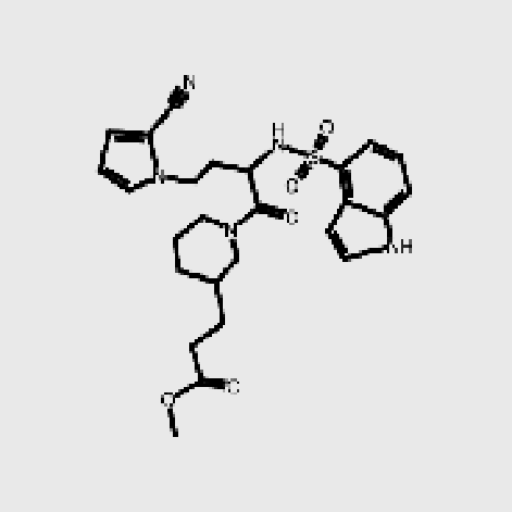 COC(=O)CCC1CCCN(C(=O)C(CCn2cccc2C#N)NS(=O)(=O)c2cccc3[nH]ccc23)C1